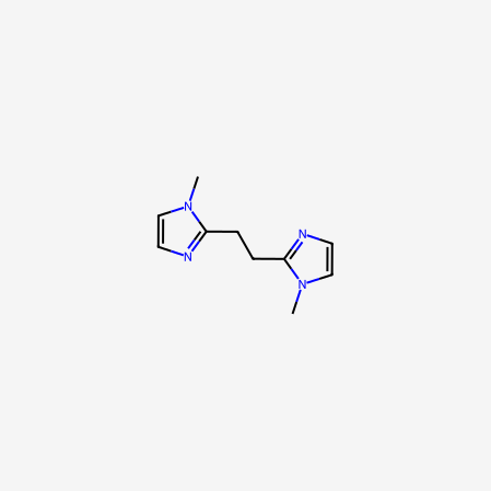 Cn1ccnc1CCc1nccn1C